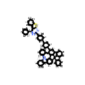 c1ccc(-c2nc(-c3ccc(-c4ccc(-c5ccc6c7c5-c5ccccc5-n5c8ccccc8c8ccc(c-7c85)C65c6ccccc6-c6ccccc65)cc4)cc3)nc3sc4ccccc4c23)cc1